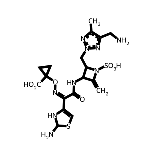 C=C1C(NC(=O)/C(=N\OC2(C(=O)O)CC2)C2=CSC(N)N2)C(Cn2nc(C)c(CN)n2)N1S(=O)(=O)O